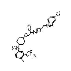 Cc1ccc(NC2CCC(OCC(=O)NCCCNc3ccc(Cl)cc3)CC2)cc1C(F)(F)F